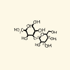 O=C(O)C(O)C(O)C(O[C@@H]1OC(CO)[C@H](O)[C@H](O)C1O)C(O)CO